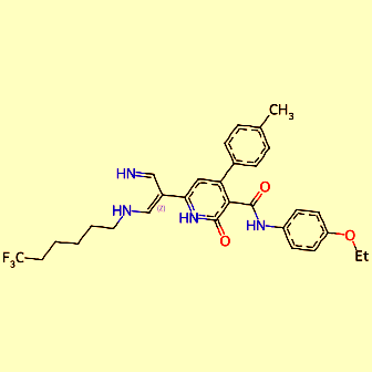 CCOc1ccc(NC(=O)c2c(-c3ccc(C)cc3)cc(/C(C=N)=C/NCCCCCC(F)(F)F)[nH]c2=O)cc1